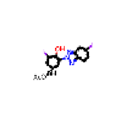 CC(=O)OBc1cc(I)c(O)c(-n2nc3ccc(I)cc3n2)c1